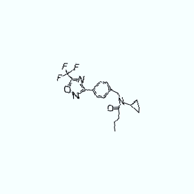 CCCC(=O)N(Cc1ccc(-c2noc(C(F)(F)F)n2)cc1)C1CC1